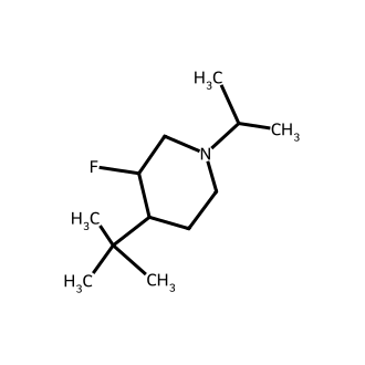 CC(C)N1CCC(C(C)(C)C)C(F)C1